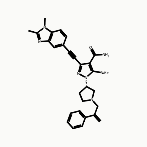 C=C(CN1CC[C@H](n2nc(C#Cc3ccc4c(c3)nc(C)n4C)c(C(N)=O)c2NC)C1)c1ccccc1